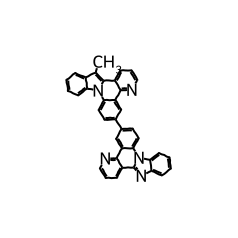 Cc1c2ccccc2n2c3ccc(-c4ccc5c(c4)c4ncccc4c4nc6ccccc6n54)cc3c3ncccc3c12